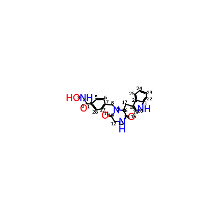 O=C(NO)c1ccc(CN2C(=O)CNC(=O)C2Cc2c[nH]c3ccccc23)cc1